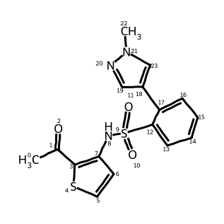 CC(=O)c1sccc1NS(=O)(=O)c1ccccc1-c1cnn(C)c1